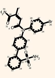 C/C(=C/C(=O)N(c1ccc(-c2ccccc2S(N)(=O)=O)cc1)c1ccc(Br)cn1)C(N)=O